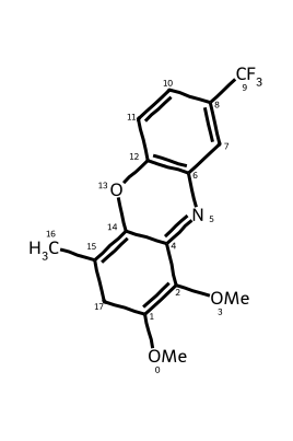 COC1=C(OC)C2=Nc3cc(C(F)(F)F)ccc3OC2=C(C)C1